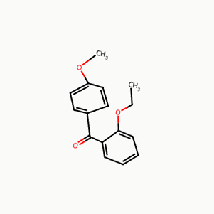 CCOc1ccccc1C(=O)c1ccc(OC)cc1